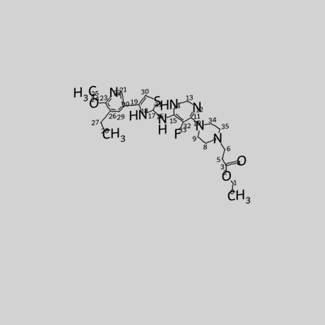 CCOC(=O)CCN1CCN(C2=NCNC(NC3NC(c4cnc(OC)c(CC)c4)=CS3)=C2F)CC1